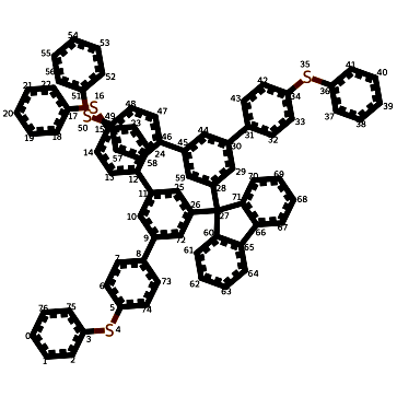 c1ccc(Sc2ccc(-c3cc(-c4ccc(Sc5ccccc5)cc4)cc(C4(c5cc(-c6ccc(Sc7ccccc7)cc6)cc(-c6ccc(Sc7ccccc7)cc6)c5)c5ccccc5-c5ccccc54)c3)cc2)cc1